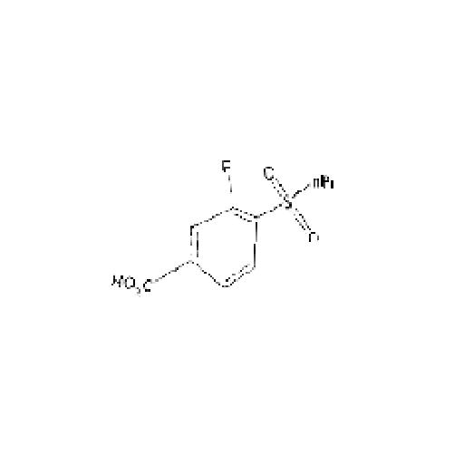 CCCS(=O)(=O)c1ccc(C(=O)O)cc1F